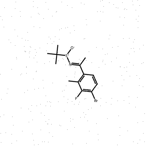 CC(=N[S+]([O-])C(C)(C)C)c1ccc(Br)c(F)c1C